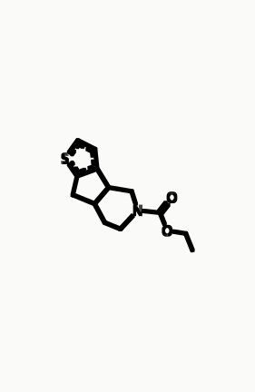 CCOC(=O)N1CCC2Cc3sccc3C2C1